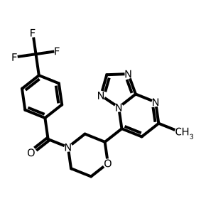 Cc1cc(C2CN(C(=O)c3ccc(C(F)(F)F)cc3)CCO2)n2ncnc2n1